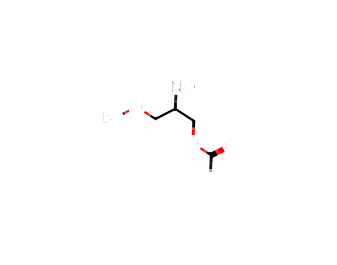 CCC(=O)OCC(COC(C)CC)N=O